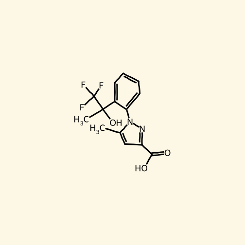 Cc1cc(C(=O)O)nn1-c1ccccc1C(C)(O)C(F)(F)F